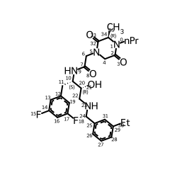 CCCN1C(=O)CN(CC(=O)N[C@@H](Cc2cc(F)cc(F)c2)[C@H](O)CNCc2cccc(CC)c2)C(=O)[C@H]1C